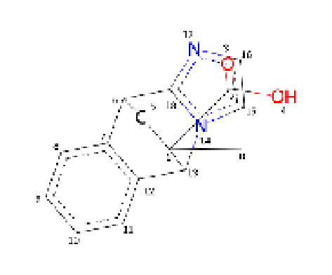 CC1(C(=O)O)CC2c3ccccc3C1n1ccnc12